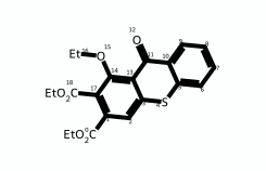 CCOC(=O)c1cc2sc3ccccc3c(=O)c2c(OCC)c1C(=O)OCC